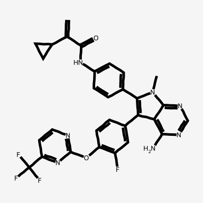 C=C(C(=O)Nc1ccc(-c2c(-c3ccc(Oc4nccc(C(F)(F)F)n4)c(F)c3)c3c(N)ncnc3n2C)cc1)C1CC1